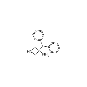 NC1(C(c2ccccc2)c2ccccc2)CNC1